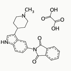 CN1CCC(c2c[nH]c3ccc(N4C(=O)c5ccccc5C4=O)cc23)CC1.O=C(O)C(=O)O